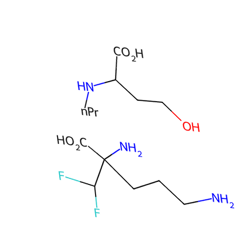 CCCNC(CCO)C(=O)O.NCCCC(N)(C(=O)O)C(F)F